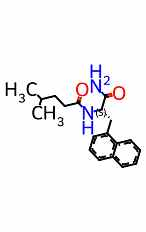 CC(C)CCC(=O)N[C@@H](Cc1cccc2ccccc12)C(N)=O